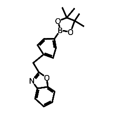 CC1(C)OB(c2ccc(Cc3nc4ccccc4o3)cc2)OC1(C)C